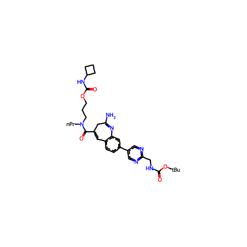 CCCN(CCCOC(=O)NC1CCC1)C(=O)C1=Cc2ccc(-c3cnc(CNC(=O)OC(C)(C)C)nc3)cc2N=C(N)C1